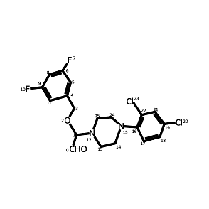 O=CC(OCc1cc(F)cc(F)c1)N1CCN(c2ccc(Cl)cc2Cl)CC1